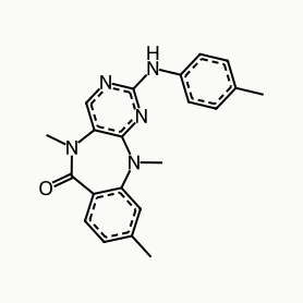 Cc1ccc(Nc2ncc3c(n2)N(C)c2cc(C)ccc2C(=O)N3C)cc1